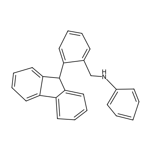 c1ccc(NCc2ccccc2C2c3ccccc3-c3ccccc32)cc1